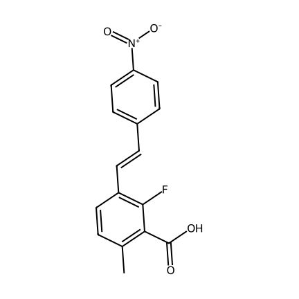 Cc1ccc(C=Cc2ccc([N+](=O)[O-])cc2)c(F)c1C(=O)O